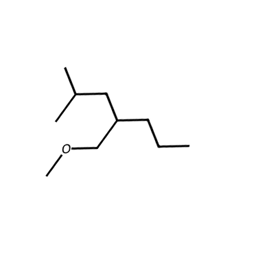 CCCC(COC)CC(C)C